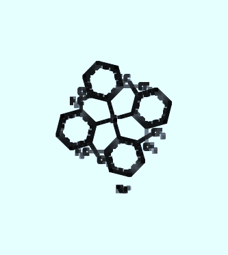 FC(F)(F)c1cccc(C(F)(F)F)c1[B-](c1c(C(F)(F)F)cccc1C(F)(F)F)(c1c(C(F)(F)F)cccc1C(F)(F)F)c1c(C(F)(F)F)cccc1C(F)(F)F.[Na+]